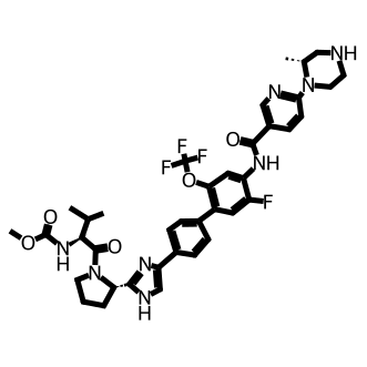 COC(=O)N[C@H](C(=O)N1CCC[C@H]1c1nc(-c2ccc(-c3cc(F)c(NC(=O)c4ccc(N5CCNC[C@H]5C)nc4)cc3OC(F)(F)F)cc2)c[nH]1)C(C)C